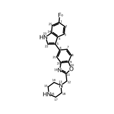 Fc1ccc2c(-c3ccc4oc(CN5CCNCC5)nc4c3)c[nH]c2c1